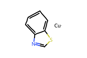 [Cu].c1ccc2scnc2c1